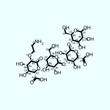 NCCO[C@H]1C(O[C@H]2[C@H](O)[C@@H](O)C(O[C@H]3[C@H](O)[C@@H](C(=O)O)OC(O[C@H]4[C@H](O)[C@@H](O)C(O)O[C@@H]4CO)[C@@H]3O)O[C@@H]2CO)O[C@H](C(=O)O)[C@@H](O)[C@@H]1O